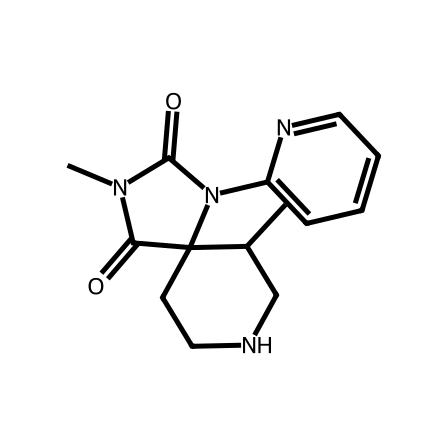 CC1CNCCC12C(=O)N(C)C(=O)N2c1ccccn1